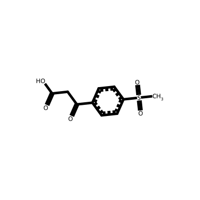 CS(=O)(=O)c1ccc(C(=O)CC(=O)O)cc1